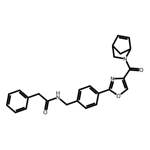 O=C(Cc1ccccc1)NCc1ccc(-c2nc(C(=O)N3CC4C=CC3C4)co2)cc1